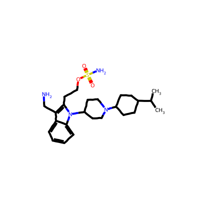 CC(C)C1CCC(N2CCC(n3c(CCOS(N)(=O)=O)c(CN)c4ccccc43)CC2)CC1